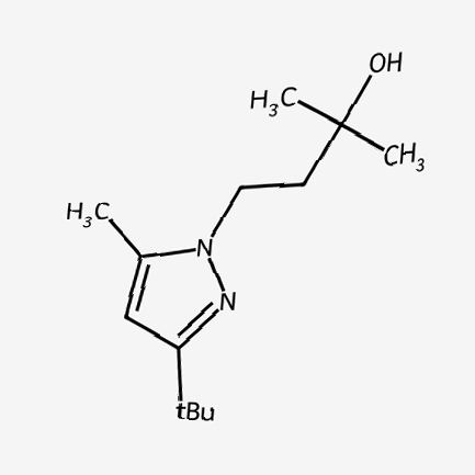 Cc1cc(C(C)(C)C)nn1CCC(C)(C)O